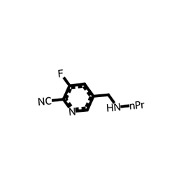 CCCNCc1cnc(C#N)c(F)c1